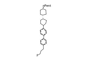 CCCCC[C@H]1CC[C@H](C2CCC(c3ccc(-c4ccc(CCCF)cc4)cc3)CC2)CC1